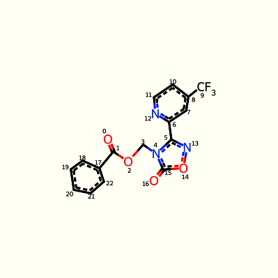 O=C(OCn1c(-c2cc(C(F)(F)F)ccn2)noc1=O)c1ccccc1